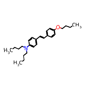 CCCCOc1ccc(C=Cc2ccc(N(CCCC)CCCC)cc2)cc1